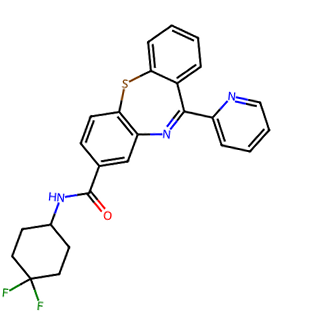 O=C(NC1CCC(F)(F)CC1)c1ccc2c(c1)N=C(c1ccccn1)c1ccccc1S2